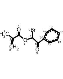 C=C(C)C(=O)OC(Br)C(=O)c1ccccc1